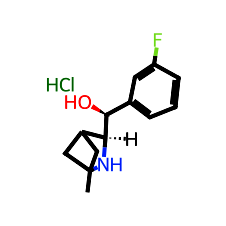 CC12CC(C1)[C@@H]([C@@H](O)c1cccc(F)c1)N2.Cl